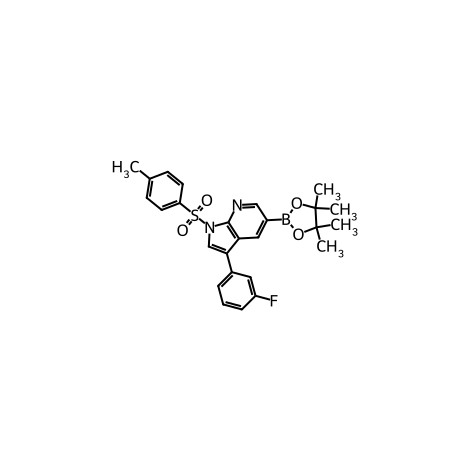 Cc1ccc(S(=O)(=O)n2cc(-c3cccc(F)c3)c3cc(B4OC(C)(C)C(C)(C)O4)cnc32)cc1